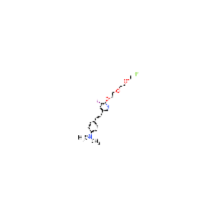 CN(C)c1ccc(C=Cc2cnc(OCCOCCOCCF)c(I)c2)cc1